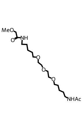 COCC(=O)NCCCCCOCCOCCOCCCCCNC(C)=O